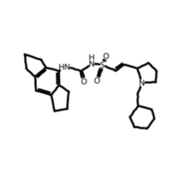 O=C(Nc1c2c(cc3c1CCC3)CCC2)NS(=O)(=O)/C=C/C1CCCN1CC1CCCCC1